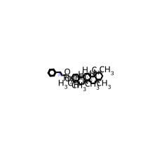 C[C@H]1[C@H](C)CC[C@]2(C)CC[C@]3(C)C(=CC[C@@H]4[C@@]5(C)CC[C@H](OC(=O)/C=C/c6ccccc6)C(C)(C)[C@@H]5CC[C@]43C)[C@H]12